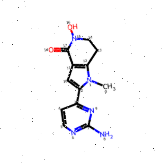 Cn1c(-c2ccnc(N)n2)cc2c1CCN(O)C2=O